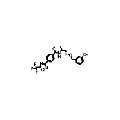 COc1cccc(CON=CC(C)NC(=O)c2ccc(-c3noc(C(F)(F)F)n3)cc2)c1